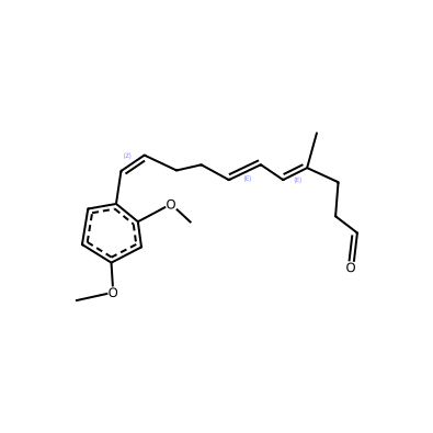 COc1ccc(/C=C\CC/C=C/C=C(\C)CCC=O)c(OC)c1